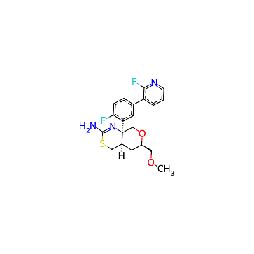 COC[C@H]1C[C@H]2CSC(N)=N[C@@]2(c2cc(-c3cccnc3F)ccc2F)CO1